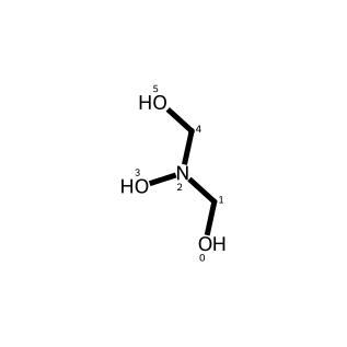 OCN(O)CO